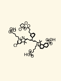 CC1(C)C2=CC(Cl)=CN(CCCCS(=O)(=O)O)C2=N/C1=C/C=C(/C=C/C1=[N+](CCCCS(=O)(=O)O)c2ccc3ccc(S(=O)(=O)O)cc3c2C1(C)C)c1cccc(CCC(=O)ON2C(=O)CCC2=O)c1